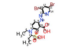 CCC(N(CC)c1ccc(/N=N/c2ncc(Br)cc2Br)c(C(=O)O)c1)S(=O)(=O)O